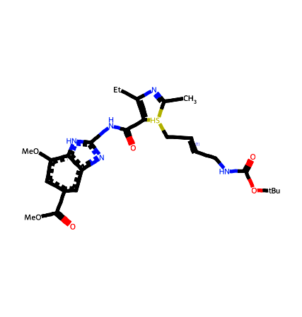 CCC1=C(C(=O)Nc2nc3cc(C(=O)OC)cc(OC)c3[nH]2)[SH](C/C=C/CNC(=O)OC(C)(C)C)C(C)=N1